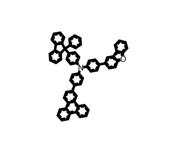 c1ccc(C2(c3ccc(N(c4ccc(-c5ccc6oc7ccccc7c6c5)cc4)c4ccc(-c5ccc6c7ccccc7c7ccccc7c6c5)cc4)cc3)c3ccccc3-c3ccccc32)cc1